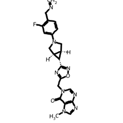 C=NCc1ccc(N2C[C@@H]3[C@H](C2)[C@H]3c2noc(Cn3cnc4ncn(C)c4c3=O)n2)cc1F